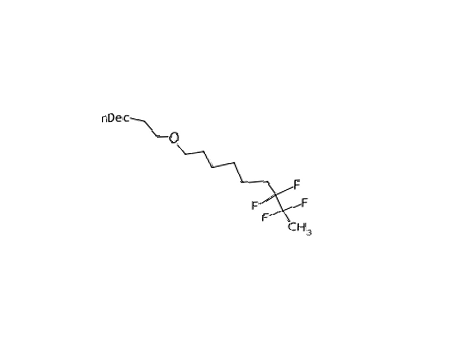 CCCCCCCCCCCCOCCCCCCC(F)(F)C(C)(F)F